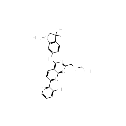 CCOCc1nc(Nc2ccc3c(c2)N(C)CC3(C)C)c2ccc(-c3ncccc3Cl)nc2n1